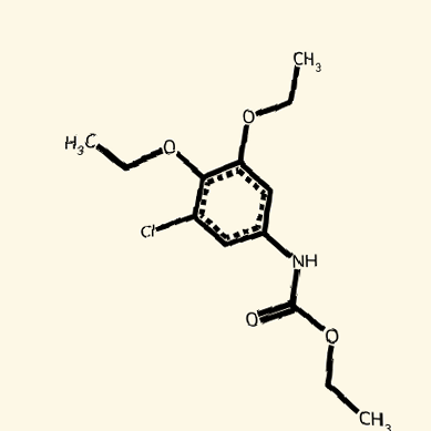 CCOC(=O)Nc1cc(Cl)c(OCC)c(OCC)c1